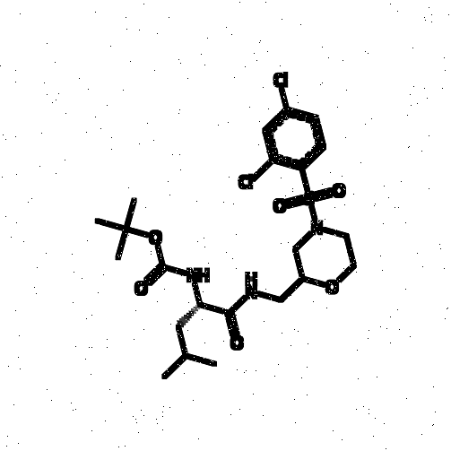 CC(C)C[C@H](NC(=O)OC(C)(C)C)C(=O)NCC1CN(S(=O)(=O)c2ccc(Cl)cc2Cl)CCO1